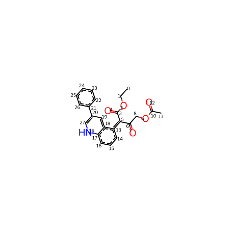 CCOC(=O)C(C(=O)COC(C)=O)=c1cccc2c1=CC(c1ccccc1)=CN2